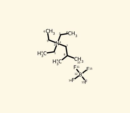 CC[N+](CC)(CC)CC(C)C.F[B-](F)(F)F